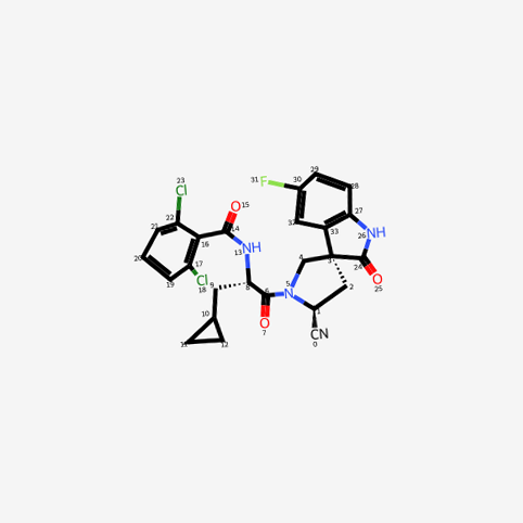 N#C[C@@H]1C[C@@]2(CN1C(=O)[C@H](CC1CC1)NC(=O)c1c(Cl)cccc1Cl)C(=O)Nc1ccc(F)cc12